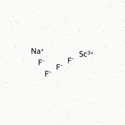 [F-].[F-].[F-].[F-].[Na+].[Sc+3]